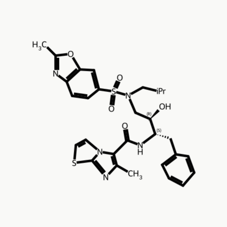 Cc1nc2ccc(S(=O)(=O)N(CC(C)C)C[C@@H](O)[C@H](Cc3ccccc3)NC(=O)c3c(C)nc4sccn34)cc2o1